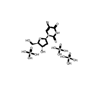 O=P(O)(O)O.O=P(O)(O)O.O=P(O)(O)O.O=c1[nH]c(=O)n([C@H]2C[C@H](O)[C@@H](CO)O2)cc1Br